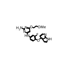 COCCOc1cc(Nc2ccc(Oc3ccnc4[nH]ccc34)c(F)c2)nc(N)n1